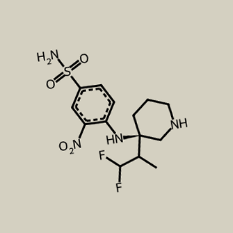 CC(C(F)F)[C@]1(Nc2ccc(S(N)(=O)=O)cc2[N+](=O)[O-])CCCNC1